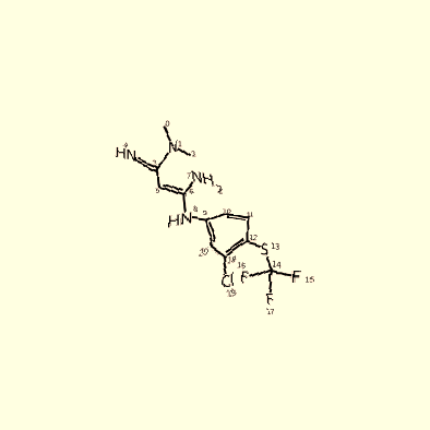 CN(C)C(=N)/C=C(\N)Nc1ccc(SC(F)(F)F)c(Cl)c1